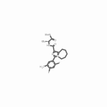 CNC(=O)[C@@H](NC(=O)c1nc(-c2cc(C)c(F)cc2F)n2c1CCCCC2)C(C)(C)C